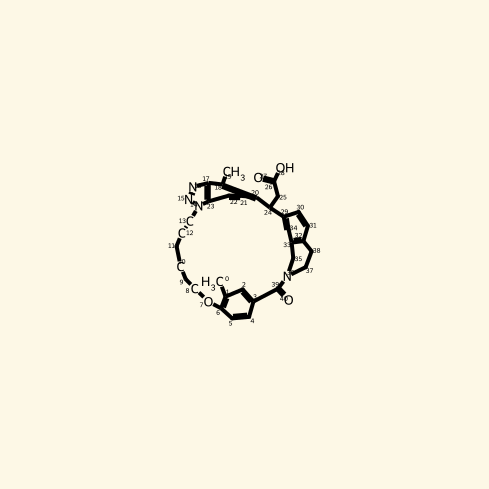 Cc1cc2ccc1OCCCCCCn1nnc3c(C)c(ccc31)C(CC(=O)O)c1ccc3c(c1)CN(CC3)C2=O